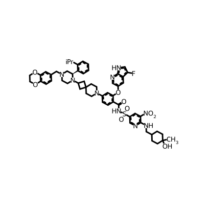 CC(C)c1ccccc1[C@@H]1CN(Cc2ccc3c(c2)OCCO3)CCN1C1CC2(CCN(c3ccc(C(=O)NS(=O)(=O)c4cnc(NCC5CCC(C)(O)CC5)c([N+](=O)[O-])c4)c(Oc4cnc5[nH]cc(F)c5c4)c3)CC2)C1